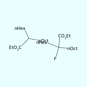 CCCCCCCCC(CCCCCC)C(=O)OCC.CCCCCCCCC(F)(CCCCCC)C(=O)OCC